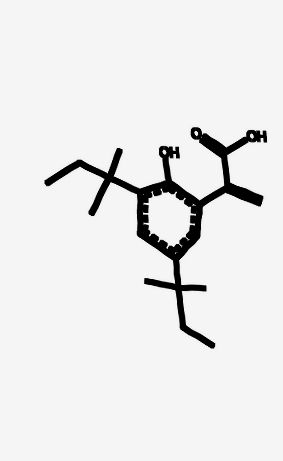 C=C(C(=O)O)c1cc(C(C)(C)CC)cc(C(C)(C)CC)c1O